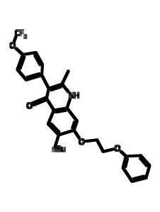 CCCCc1cc2c(=O)c(-c3ccc(OC(F)(F)F)cc3)c(C)[nH]c2cc1OCCOc1ccccc1